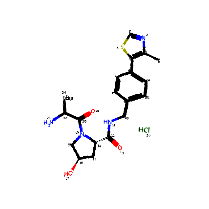 Cc1ncsc1-c1ccc(CNC(=O)[C@@H]2C[C@@H](O)CN2C(=O)C(N)C(C)(C)C)cc1.Cl